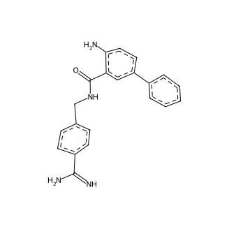 N=C(N)c1ccc(CNC(=O)c2cc(-c3ccccc3)ccc2N)cc1